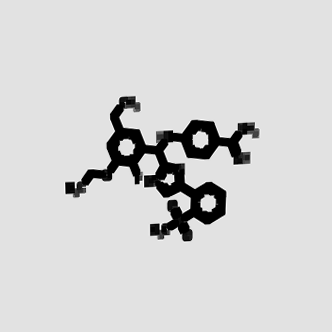 CCOc1cc(CC)cc(C(Nc2ccc(C(=N)N)cc2)c2nc(-c3ccccc3S(C)(=O)=O)c[nH]2)c1F